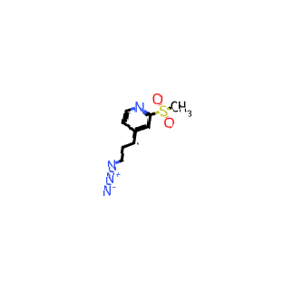 CS(=O)(=O)c1cc([CH]CCN=[N+]=[N-])ccn1